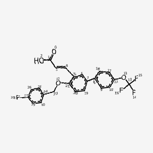 O=C(O)/C=C/c1cc(-c2ccc(OC(F)(F)F)cc2)ccc1OCc1ccc(F)cc1